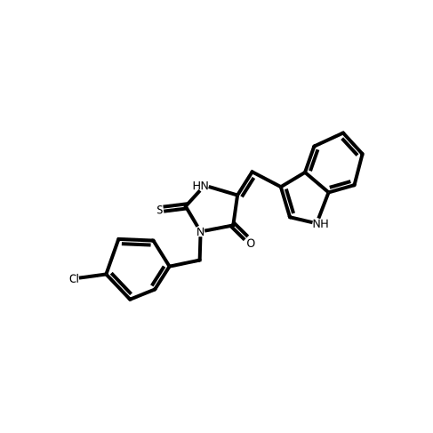 O=C1C(=Cc2c[nH]c3ccccc23)NC(=S)N1Cc1ccc(Cl)cc1